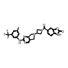 Cc1cc(Nc2ncc3c(n2)CN(C2CN(C(=O)c4ccc5[nH]c(=O)oc5c4)C2)C3)cc(C(F)(F)F)c1